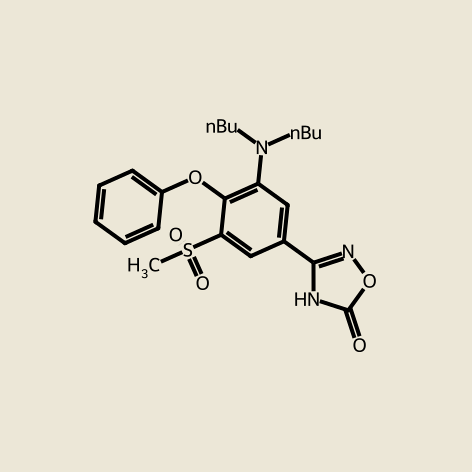 CCCCN(CCCC)c1cc(-c2noc(=O)[nH]2)cc(S(C)(=O)=O)c1Oc1ccccc1